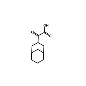 O=C(O)C(=O)C1CC2CCCC(C2)C1